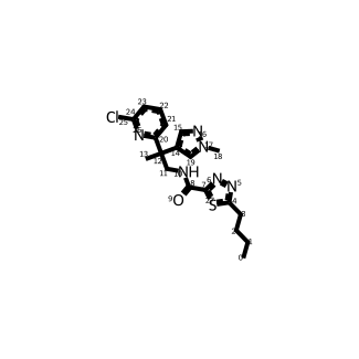 CCCCc1nnc(C(=O)NCC(C)(c2cnn(C)c2)c2cccc(Cl)n2)s1